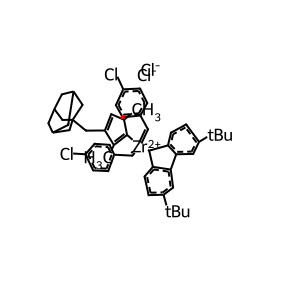 CC1=[C]([Zr+2](=[CH]c2ccc(Cl)cc2)(=[CH]c2ccc(Cl)cc2)[CH]2c3ccc(C(C)(C)C)cc3-c3cc(C(C)(C)C)ccc32)C(C)C=C1CC12CC3CC(CC(C3)C1)C2.[Cl-].[Cl-]